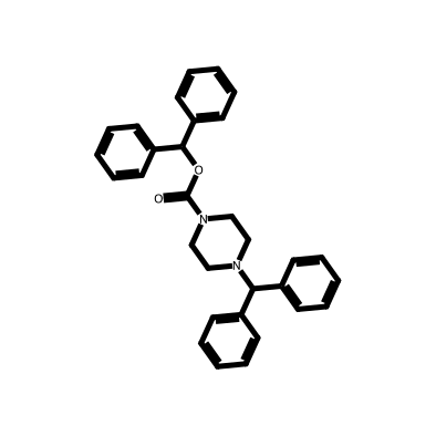 O=C(OC(c1ccccc1)c1ccccc1)N1CCN(C(c2ccccc2)c2ccccc2)CC1